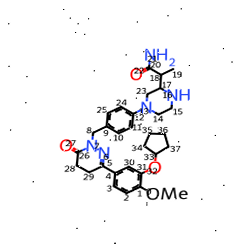 COc1ccc(C2=NN(Cc3ccc(N4CCNC(C(C)C(N)=O)C4)cc3)C(=O)CC2)cc1OC1CCCC1